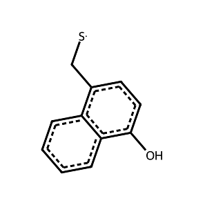 Oc1ccc(C[S])c2ccccc12